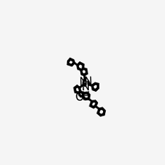 c1ccc(C2=NC(c3ccc4ccc(-c5ccccc5)cc4c3)=NC(c3cccc4oc5cc(-c6ccc(-c7ccccc7)cc6)ccc5c34)N2)cc1